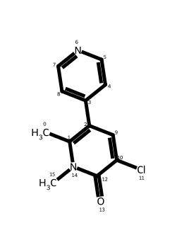 Cc1c(-c2ccncc2)cc(Cl)c(=O)n1C